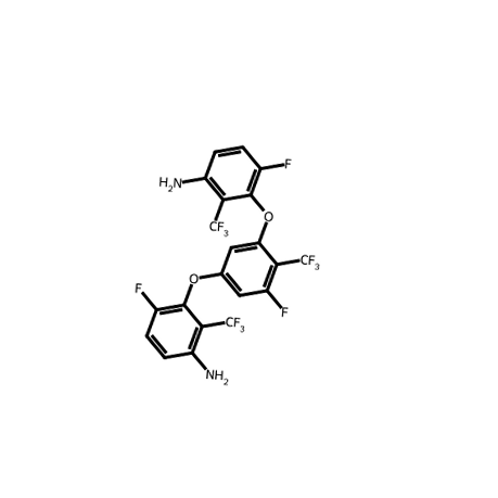 Nc1ccc(F)c(Oc2cc(F)c(C(F)(F)F)c(Oc3c(F)ccc(N)c3C(F)(F)F)c2)c1C(F)(F)F